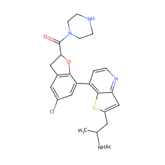 CC(=O)NC(C)Cc1cc2nccc(-c3cc(Cl)cc4c3OC(C(=O)N3CCNCC3)C4)c2s1